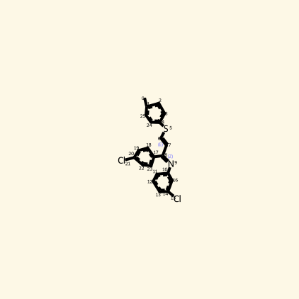 Cc1ccc(S/C=C/C(=N/c2cccc(Cl)c2)c2ccc(Cl)cc2)cc1